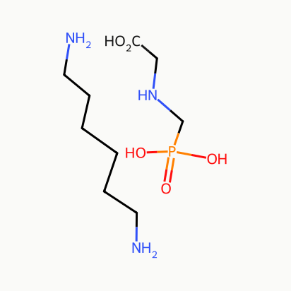 NCCCCCCN.O=C(O)CNCP(=O)(O)O